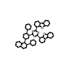 c1ccc(-c2ccc(-c3c(-c4ccccc4)ccc4ccccc34)cc2-c2nc(-c3cccc4c3oc3ccccc34)nc(-c3cccc4c3oc3ccccc34)n2)cc1